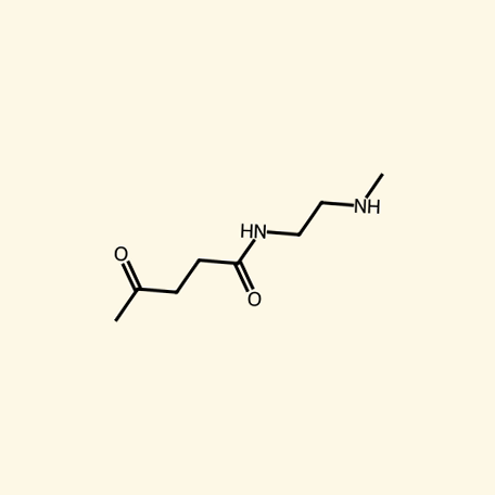 CNCCNC(=O)CCC(C)=O